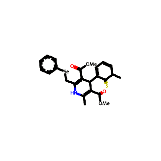 COC(=O)C1=C(C)NC(C[Se]c2ccccc2)=C(C(=O)OC)C1C1=CC=CC(C)C1=S